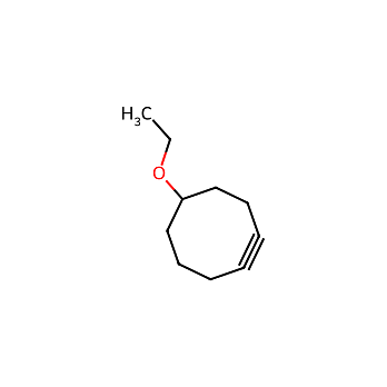 CCOC1CCC#CCCC1